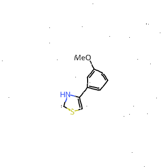 COc1cccc(C2=CS[C]N2)c1